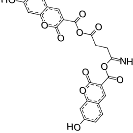 N=C(CCC(=O)OC(=O)c1cc2ccc(O)cc2oc1=O)OC(=O)c1cc2ccc(O)cc2oc1=O